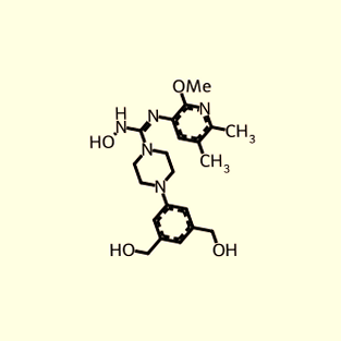 COc1nc(C)c(C)cc1N=C(NO)N1CCN(c2cc(CO)cc(CO)c2)CC1